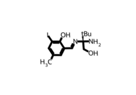 Cc1cc(I)c(O)c(/C=N/[C@](N)(CO)C(C)(C)C)c1